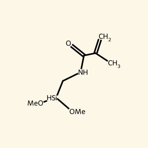 C=C(C)C(=O)NC[SiH](OC)OC